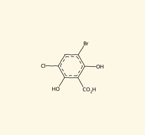 O=C(O)c1c(O)c(Cl)cc(Br)c1O